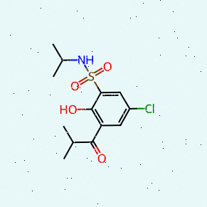 CC(C)NS(=O)(=O)c1cc(Cl)cc(C(=O)C(C)C)c1O